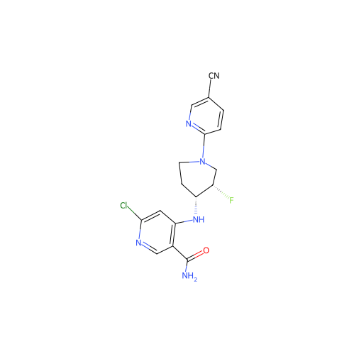 N#Cc1ccc(N2CC[C@@H](Nc3cc(Cl)ncc3C(N)=O)[C@@H](F)C2)nc1